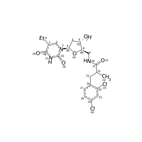 CCc1cn([C@H]2C[C@H](O)[C@@H](CNC(=O)C(C)Cc3ccc(Cl)cc3Cl)O2)c(=O)[nH]c1=O